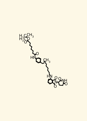 CN(CCCCCCNc1cccc2c1C(=O)N(C1CCC(=O)NC1=O)C2=O)Cc1ccc(NC(=O)CCCCCCC(=O)OC(C)(C)C)cc1